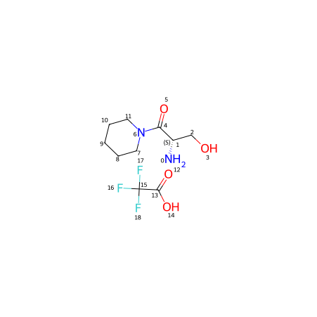 N[C@@H](CO)C(=O)N1CCCCC1.O=C(O)C(F)(F)F